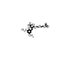 Cc1cc(C)c2c(c1)C=C(C(=O)OCCOCCO[N+](=O)[O-])C(C(F)(F)F)O2